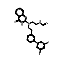 O=CNCCN(CCc1cccc(-c2cc(F)cc(F)c2)c1)c1nc2ccccc2c(=O)[nH]1